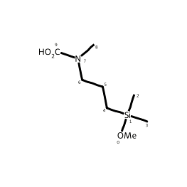 CO[Si](C)(C)CCCN(C)C(=O)O